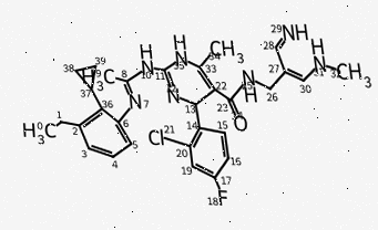 CCc1cccc(/N=C(\C)NC2=NC(c3ccc(F)cc3Cl)C(C(=O)NC/C(C=N)=C/NC)=C(C)N2)c1C1CC1